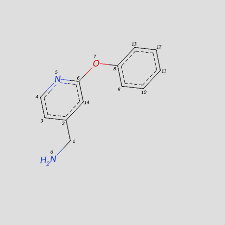 NCc1ccnc(Oc2ccccc2)c1